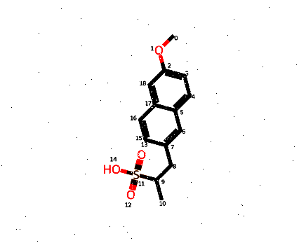 COc1ccc2cc(CC(C)S(=O)(=O)O)ccc2c1